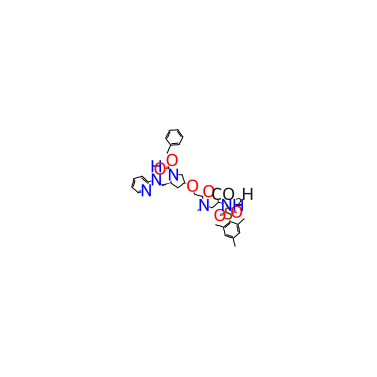 Cc1cc(C)c(S(=O)(=O)N[C@@H](CN(C)C(=O)CO[C@@H]2C[C@@H](CNc3ccccn3)N(C(=O)OCc3ccccc3)C2)C(=O)O)c(C)c1